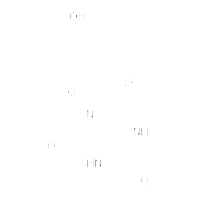 O=c1[nH]c(=O)n(OCCO)c(=O)[nH]1